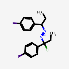 CCC(/N=N/C(Cl)(CC)c1ccc(I)cc1)c1ccc(I)cc1